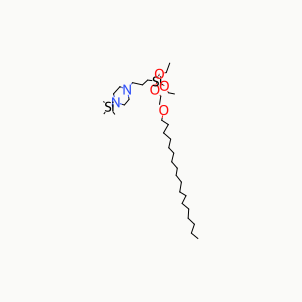 CCCCCCCCCCCCCCCCCCOCCO[Si](CCCN1CCN([Si](C)(C)C)CC1)(OCC)OCC